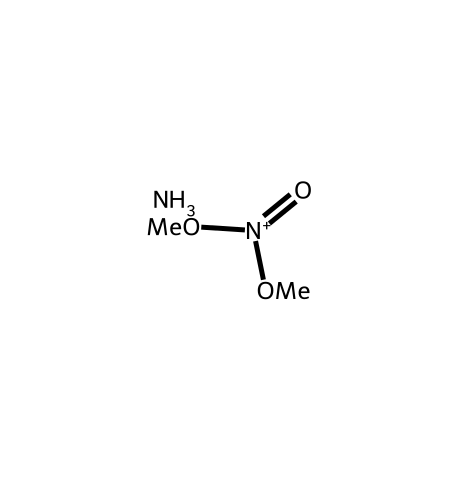 CO[N+](=O)OC.N